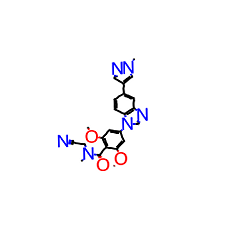 COc1cc(-n2cnc3cc(-c4cnn(C)c4)ccc32)cc(OC)c1C(=O)N(C)CC#N